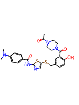 CC(=O)N1CCN(C(=O)c2cc(CSc3cnc(NC(=O)c4ccc(N(C)C)cc4)s3)ccc2O)CC1